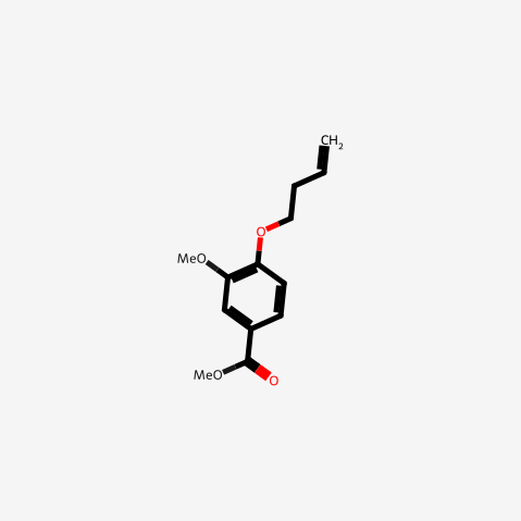 C=CCCOc1ccc(C(=O)OC)cc1OC